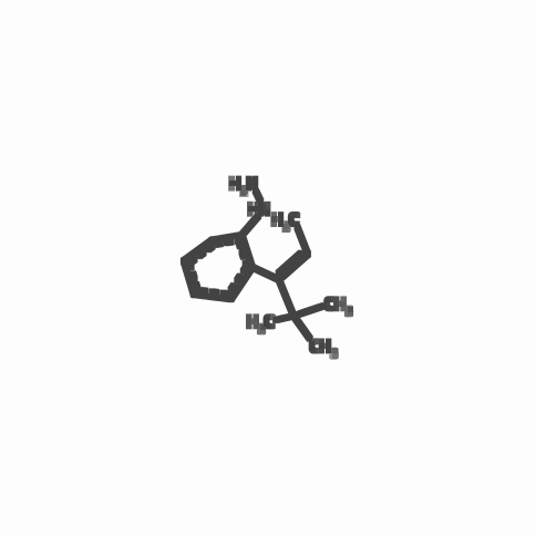 C/C=C(\c1ccccc1NN)C(C)(C)C